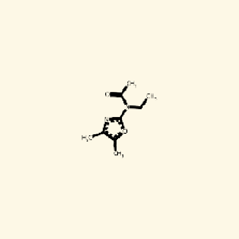 CCN(C(C)=O)c1nc(C)c(C)o1